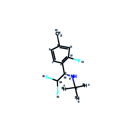 [2H]C([2H])([2H])N[C@@H](c1ccc(C(F)(F)F)cc1F)C(F)F